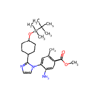 COC(=O)c1cc(N)c(-n2ccnc2C2CCC(O[Si](C)(C)C(C)(C)C)CC2)cc1C